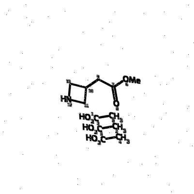 CC(=O)O.CC(=O)O.CC(=O)O.COC(=O)CC1CNC1